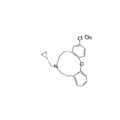 Cl.Clc1ccc2c(c1)CCN(CC1CC1)CCc1ccccc1O2